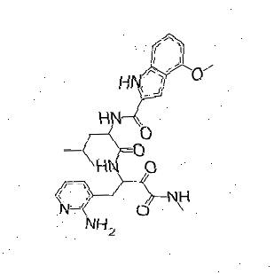 CNC(=O)C(=O)C(Cc1cccnc1N)NC(=O)C(CC(C)C)NC(=O)c1cc2c(OC)cccc2[nH]1